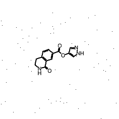 O=C(Oc1cn[nH]c1)c1ccc2c(c1)C(=O)NCC2